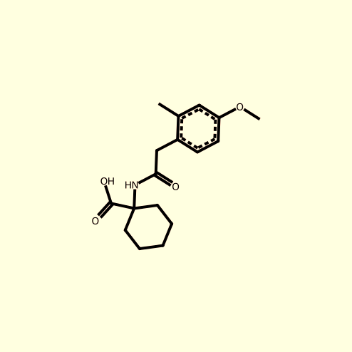 COc1ccc(CC(=O)NC2(C(=O)O)CCCCC2)c(C)c1